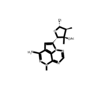 CC[C@H]1O[C@@H](c2cc3c4c(ncnn24)N(C)N=C3N)[C@](C)(OC(C)=O)[C@@H]1C